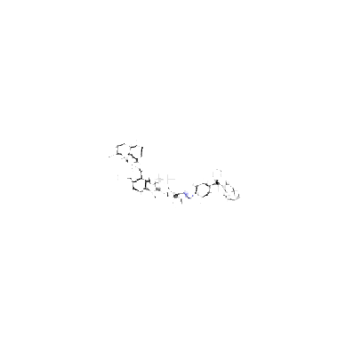 Cc1ccc2cccc(OCc3c(Cl)ccc(N(C)C(=O)CNC(=O)/C=C/c4ccc(C(=O)N5CCOCC5)cc4)c3Cl)c2n1